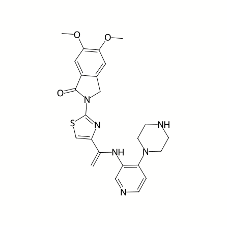 C=C(Nc1cnccc1N1CCNCC1)c1csc(N2Cc3cc(OC)c(OC)cc3C2=O)n1